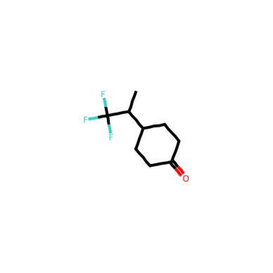 CC(C1CCC(=O)CC1)C(F)(F)F